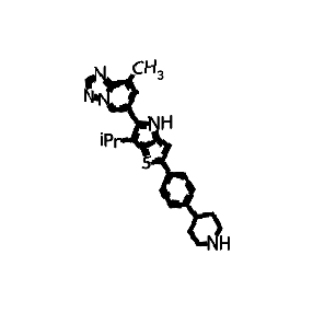 Cc1cc(-c2[nH]c3cc(-c4ccc(C5CCNCC5)cc4)sc3c2C(C)C)cn2ncnc12